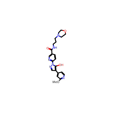 COc1cc(-c2cnn(-c3ccc(C(=O)NCCCN4CCOCC4)cn3)c2O)ccn1